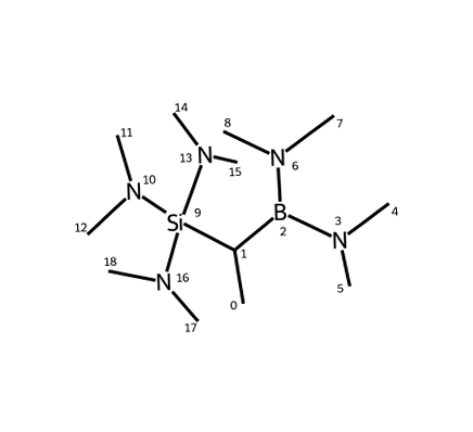 CC(B(N(C)C)N(C)C)[Si](N(C)C)(N(C)C)N(C)C